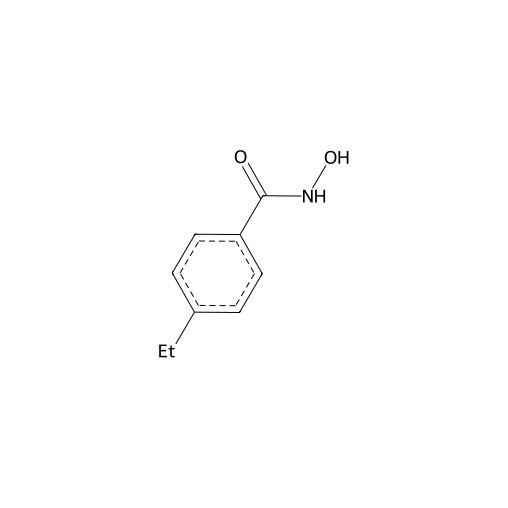 CCc1ccc(C(=O)NO)cc1